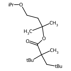 CC(C)OCCC(C)(C)OC(=O)C(C)(CC(C)(C)C)C(C)(C)C